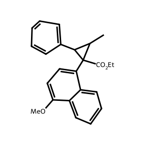 CCOC(=O)C1(c2ccc(OC)c3ccccc23)C(C)C1c1ccccc1